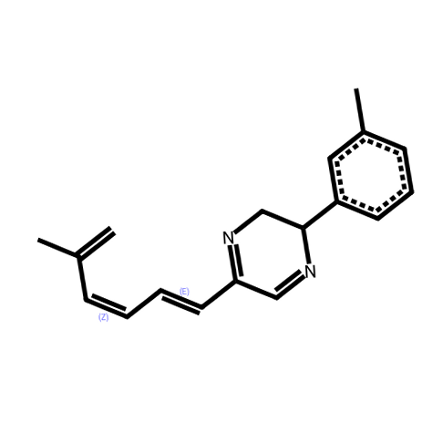 C=C(C)/C=C\C=C\C1=NCC(c2cccc(C)c2)N=C1